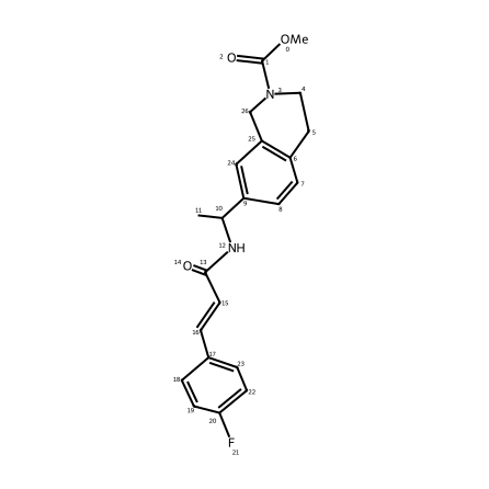 COC(=O)N1CCc2ccc(C(C)NC(=O)/C=C/c3ccc(F)cc3)cc2C1